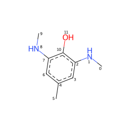 CNc1cc(C)cc(NC)c1O